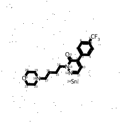 O=c1c(-c2ccc(C(F)(F)F)cc2)ccnn1CCCCN1CCOCC1.[Sn]